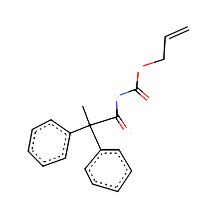 C=CCOC(=O)NC(=O)C(C)(c1ccccc1)c1ccccc1